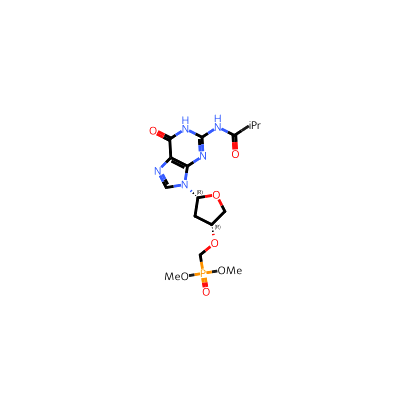 COP(=O)(CO[C@H]1CO[C@@H](n2cnc3c(=O)[nH]c(NC(=O)C(C)C)nc32)C1)OC